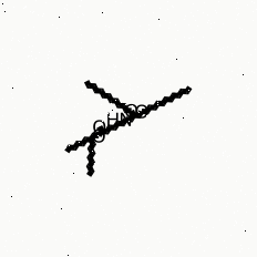 CCCCCCCCCCCCOCC(CNCCCCCC(=O)OCC(CCCCCC)CCCCCCCC)OCCCCCCCCCCCC